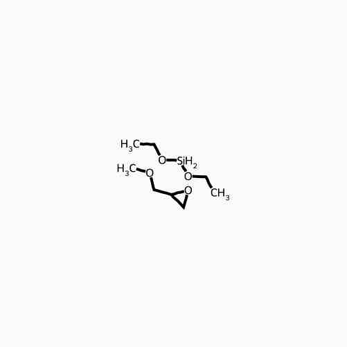 CCO[SiH2]OCC.COCC1CO1